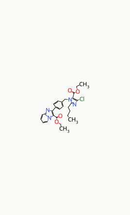 CCCCc1nc(Cl)c(C(=O)OCC)n1Cc1ccc(-c2nc3ccccn3c2C(=O)OCC)cc1